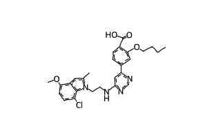 CCCCOc1cc(-c2cc(NCCn3c(C)cc4c(OC)ccc(Cl)c43)ncn2)ccc1C(=O)O